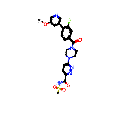 CCOc1cncc(-c2ccc(C(=O)N3CCN(c4ccc(C(=O)NS(C)(=O)=O)nn4)CC3)cc2F)c1